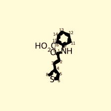 O=C(C=Cc1ccsc1)Nc1ccccc1C(=O)O